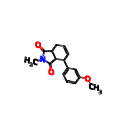 COc1cccc(C2C=CCC3C(=O)N(C)C(=O)C32)c1